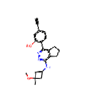 C#Cc1ccc(-c2nnc(NC3CC(C)(OC)C3)c3c2CCC3)c(O)c1